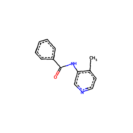 Cc1ccncc1NC(=O)c1ccccc1